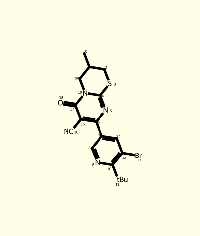 CC1CSc2nc(-c3cnc(C(C)(C)C)c(Br)c3)c(C#N)c(=O)n2C1